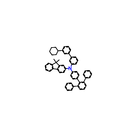 CC1(C)c2ccccc2-c2ccc(N(c3ccc(-c4c(-c5ccccc5)cccc4-c4ccccc4)cc3)c3cccc(-c4cccc(C5CCCCC5)c4)c3)cc21